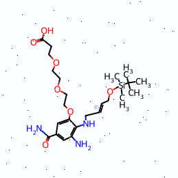 CC(C)(C)[Si](C)(C)OC/C=C/CNc1c(N)cc(C(N)=O)cc1OCCOCCOCCC(=O)O